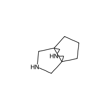 C1CC23CNCC2(C1)CNC3